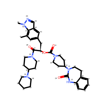 Cc1cc(C[C@@H](OC(=O)N2CCC(N3CCc4ccccc4NC3=O)CC2)C(=O)N2CCC(N3CCCCC3)CC2)cc2cnn(C)c12